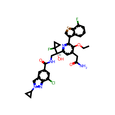 CCOc1c(CC(N)=O)cc([C@@](O)(CNC(=O)c2cc(Cl)c3nn(C4CC4)cc3c2)C2(F)CC2)nc1-c1csc2c(F)cccc12